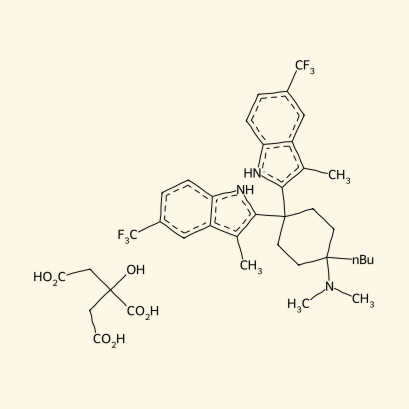 CCCCC1(N(C)C)CCC(c2[nH]c3ccc(C(F)(F)F)cc3c2C)(c2[nH]c3ccc(C(F)(F)F)cc3c2C)CC1.O=C(O)CC(O)(CC(=O)O)C(=O)O